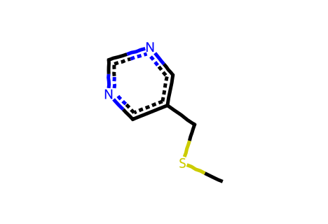 CSCc1cncnc1